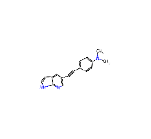 CN(C)c1ccc(C#Cc2cnc3[nH]ccc3c2)cc1